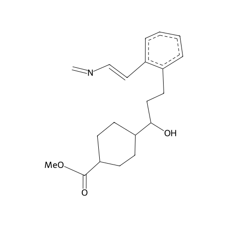 C=N/C=C/c1ccccc1CCC(O)C1CCC(C(=O)OC)CC1